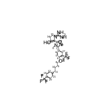 CN1C(c2ccc(OCCCCc3ccc(C(F)(F)F)cc3)c(C(F)(F)F)c2)=NOC1[C@@H]1[C@@H](O)CCN1C(=N)N